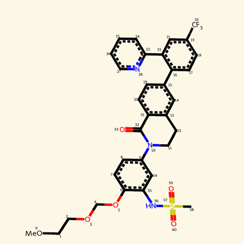 COCCOCOc1ccc(N2CCc3cc(-c4ccc(C(F)(F)F)cc4-c4ccccn4)ccc3C2=O)cc1NS(C)(=O)=O